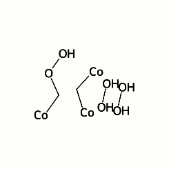 OO.OO.OO[CH2][Co].[Co][CH2][Co]